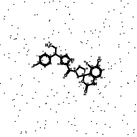 CCC(c1ccc(F)cc1)c1c[nH]c(C(=O)N2CC[C@@]3(C2)OC(=O)Nc2ccc(Cl)c(F)c23)n1